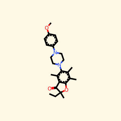 CCC1(C)Oc2c(C)c(C)c(N3CCN(c4ccc(OC)cc4)CC3)c(C)c2C1=O